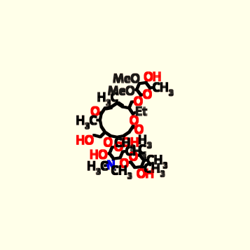 CCC1OC(=O)CC(O)C(C)C(OC2OC(C)C(OC3CC(C)(O)C(C)C(C)O3)C(N(C)C)C2O)C(CCO)CC(C)C(=O)/C=C/C(C)=C/C1COC1OC(C)C(O)C(OC)C1OC